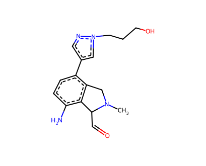 CN1Cc2c(-c3cnn(CCCO)c3)ccc(N)c2C1C=O